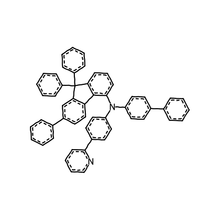 c1ccc(-c2ccc(N(c3ccc(-c4ccccn4)cc3)c3cccc4c3-c3ccc(-c5ccccc5)cc3C4(c3ccccc3)c3ccccc3)cc2)cc1